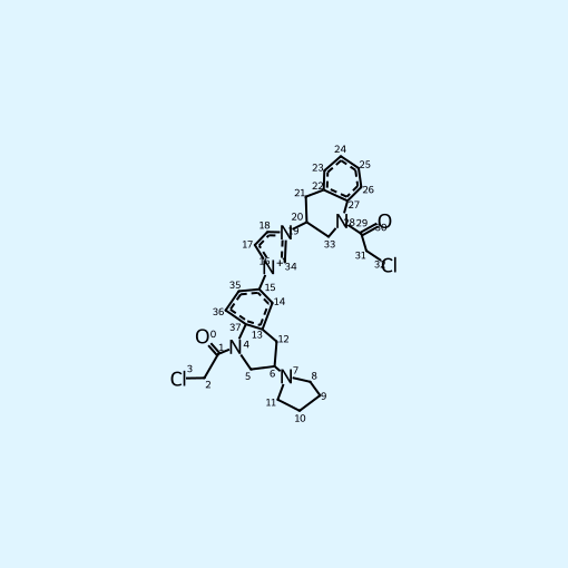 O=C(CCl)N1CC(N2CCCC2)Cc2cc(-[n+]3ccn(C4Cc5ccccc5N(C(=O)CCl)C4)c3)ccc21